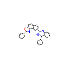 c1ccc(C2=c3ccccc3=NC(c3ccc4ccc5oc(-c6ccccc6)nc5c4c3)N2)cc1